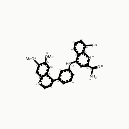 COc1cc2nccc(-c3cccc(Nc4cc(C(N)=O)nc5c(F)cccc45)c3)c2cc1OC